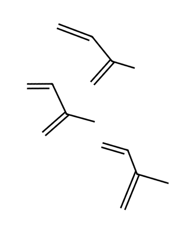 C=CC(=C)C.C=CC(=C)C.C=CC(=C)C